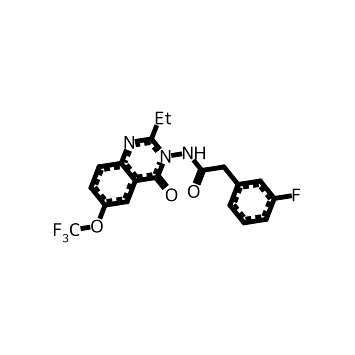 CCc1nc2ccc(OC(F)(F)F)cc2c(=O)n1NC(=O)Cc1cccc(F)c1